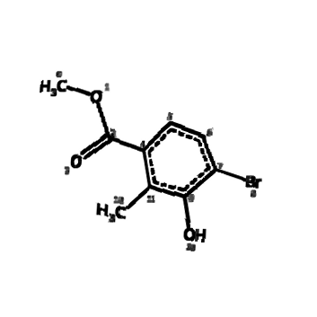 COC(=O)c1ccc(Br)c(O)c1C